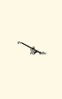 CCCCOCCCN(CCCNC(=O)CCCCCCCCCCCCCCC(C)C)CC(O)CO